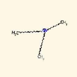 CCCCCCCCCCCCCCCCCc1n(CCCCCCCCCCCC)cc[n+]1CCCCCCCCCCCCCCCCC